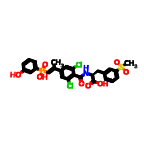 C/C(=C\P(=O)(O)c1cccc(O)c1)c1cc(Cl)c(C(=O)N[C@@H](Cc2cccc(S(C)(=O)=O)c2)C(=O)O)c(Cl)c1